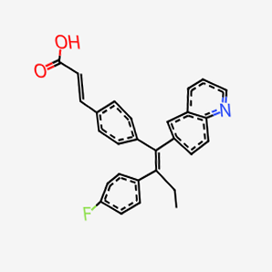 CC/C(=C(/c1ccc(/C=C/C(=O)O)cc1)c1ccc2ncccc2c1)c1ccc(F)cc1